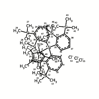 CC1=C(C)[C]([Ti+3])([Si](c2cccc([Si](C)(C)C)c2[Si](C)(C)C)(c2cccc([Si](C)(C)C)c2[Si](C)(C)C)c2cccc([Si](C)(C)C)c2[Si](C)(C)C)C(C)=C1C.[Cl-].[Cl-].[Cl-]